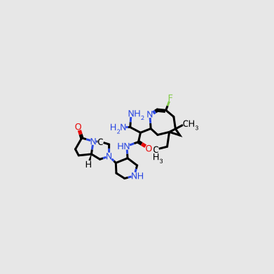 CCC12CC(C(C(=O)NC3CNCCC3N3CCN4C(=O)CC[C@H]4C3)C(N)N)N=C=C(F)CC1(C)C2